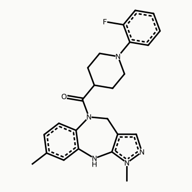 Cc1ccc2c(c1)Nc1c(cnn1C)CN2C(=O)C1CCN(c2ccccc2F)CC1